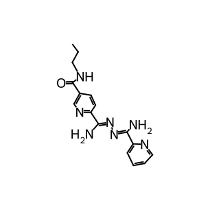 CCCNC(=O)c1ccc(/C(N)=N/N=C(\N)c2ccccn2)nc1